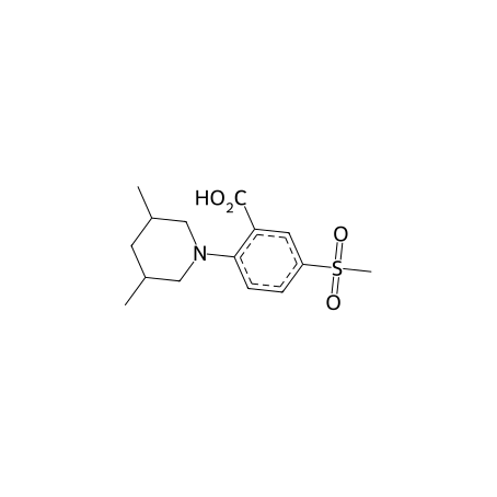 CC1CC(C)CN(c2ccc(S(C)(=O)=O)cc2C(=O)O)C1